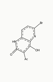 CC(=O)c1c(O)c2nc(Br)ccc2[nH]c1=O